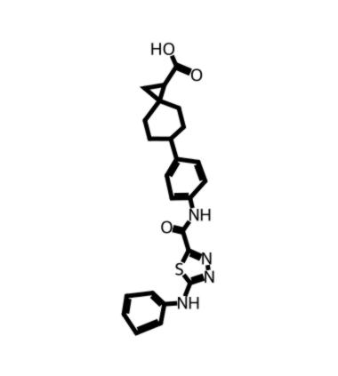 O=C(Nc1ccc(C2CCC3(CC2)CC3C(=O)O)cc1)c1nnc(Nc2ccccc2)s1